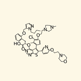 CCCCn1nccc1COc1ccccc1C[C@@H](Oc1ncnc2sc(-c3ccc(OCCN4CCOCC4)nc3)c(-c3ccc(OCCN4CCN(C)CC4)c(Cl)c3C)c12)C(=O)O